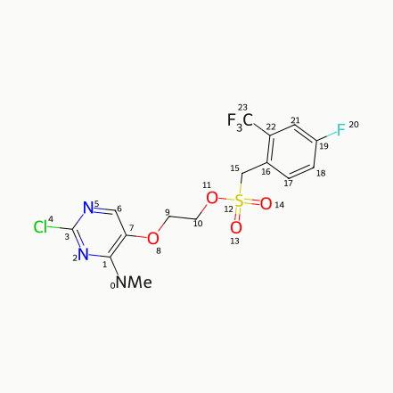 CNc1nc(Cl)ncc1OCCOS(=O)(=O)Cc1ccc(F)cc1C(F)(F)F